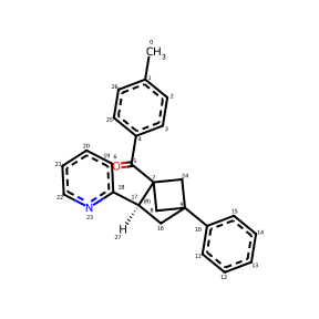 Cc1ccc(C(=O)C23CC(c4ccccc4)(C[C@H]2c2ccccn2)C3)cc1